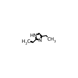 C=Cc1nc(CC)c[nH]1